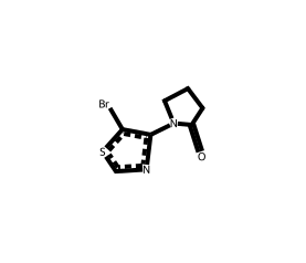 O=C1CCCN1c1ncsc1Br